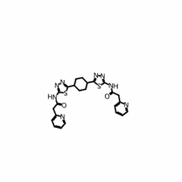 O=C(Cc1ccccn1)Nc1nnc(C2CCC(c3nnc(NC(=O)Cc4ccccn4)s3)CC2)s1